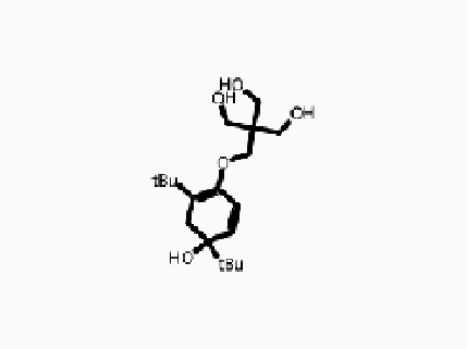 CC(C)(C)C1=C(OCC(CO)(CO)CO)C=CC(O)(C(C)(C)C)C1